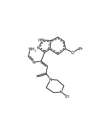 C=C(/C=C(\N=C/N)c1n[nH]c2ccc(OC(C)C)cc12)N1CCN(CC)CC1